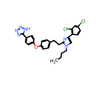 CCCCn1cc(-c2ccc(Cl)cc2Cl)nc1[CH]Cc1ccc(Oc2ccc(-c3nnn[nH]3)cc2)cc1